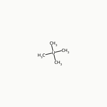 [CH3][U]([CH3])([CH3])[CH3]